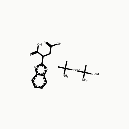 CCCCCC(C)(C)N.CCCCCC(C)(C)N.OC(=S)CC(C(O)=S)c1nc2ccccc2s1